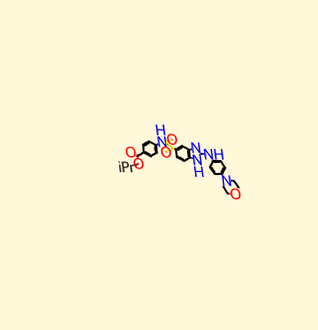 CC(C)OC(=O)c1ccc(NS(=O)(=O)c2ccc3[nH]c(Nc4ccc(N5CCOCC5)cc4)nc3c2)cc1